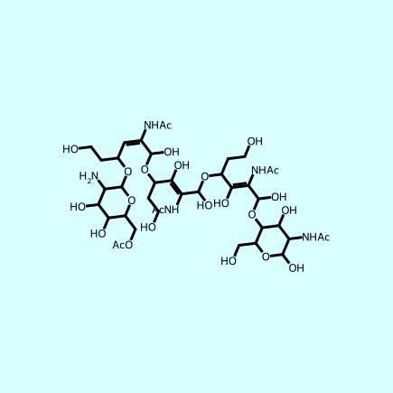 CC(=O)N/C(=C/C(CCO)OC1OC(COC(C)=O)C(O)C(O)C1N)C(O)OC(CCO)/C(O)=C(\NC(C)=O)C(O)OC(CCO)/C(O)=C(\NC(C)=O)C(O)OC1C(CO)OC(O)C(NC(C)=O)C1O